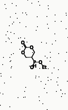 CCO[PH](=O)C1COC(=O)OC1